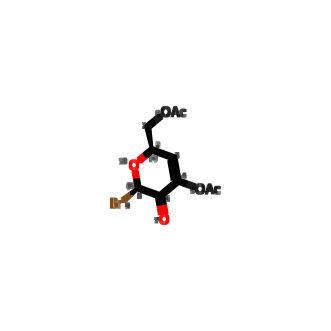 CC(=O)OC[C@H]1C=C(OC(C)=O)C(=O)[C@@H](Br)O1